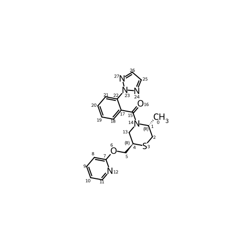 C[C@@H]1CS[C@@H](COc2ccccn2)CN1C(=O)c1ccccc1-n1nccn1